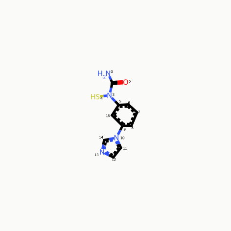 NC(=O)N(S)c1cccc(-n2ccnc2)c1